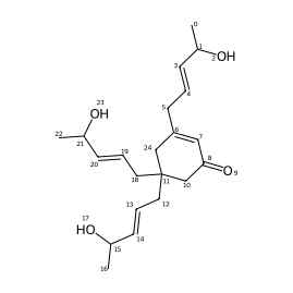 CC(O)C=CCC1=CC(=O)CC(CC=CC(C)O)(CC=CC(C)O)C1